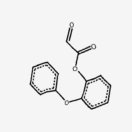 O=CC(=O)Oc1ccccc1Oc1ccccc1